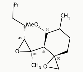 CO[C@@H]1C(C)CC[C@]2(CO2)[C@H]1[C@@]1(C)O[C@@H]1CCC(C)C